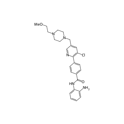 COCCN1CCN(Cc2cnc(-c3ccc(C(=O)Nc4ccccc4N)cc3)c(Cl)c2)CC1